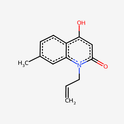 C=CCn1c(=O)cc(O)c2ccc(C)cc21